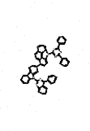 c1ccc(-c2nc(-c3ccccc3)nc(-n3c4cccc5ccc6c(-c7ccc8c9ccccc9n(-c9nc(-c%10ccccc%10)c%10ccccc%10n9)c8c7)ccc3c6c54)n2)cc1